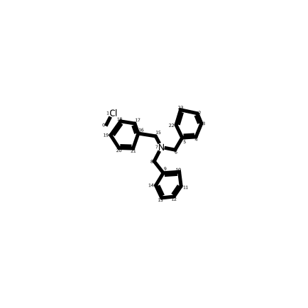 CCl.c1ccc(CN(Cc2ccccc2)Cc2ccccc2)cc1